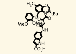 COc1cccc([C@H]2O[C@H](CC(=O)Nc3ccc4cc(C(=O)O)[nH]c4c3)C(=O)N3c4c(cc(C)cc42)OC[C@H]3C(C)(C)C)c1OC